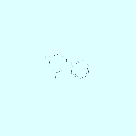 CC1CNCCO1.c1cnnnc1